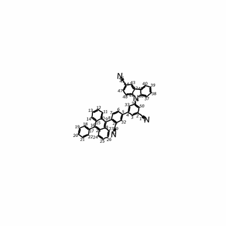 N#Cc1cc(-c2ccc(-c3c4ccccc4c(-c4ccccc4)c4ccccc34)c(C#N)c2)cc(-n2c3ccccc3c3cc(C#N)ccc32)c1